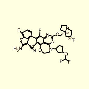 N#Cc1c(N)sc2c(F)ccc(-c3c(Cl)c4c5c(nc(OC[C@@]67CCCN6C[C@H](F)C7)nc5c3F)N(C3CCC(OC(F)F)C3)CCO4)c12